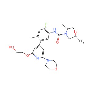 Cc1cc(F)c(NC(=O)N2CC(C(F)(F)F)OCC2C)cc1-c1cc(OCCO)nc(N2CCOCC2)c1